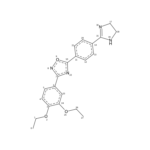 CCOc1ccc(-c2noc(-c3ccc(C4=NCCN4)cc3)n2)cc1OCC